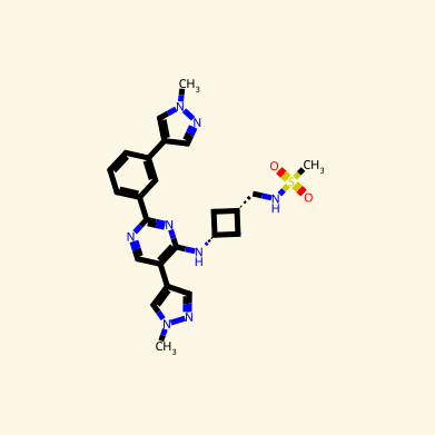 Cn1cc(-c2cccc(-c3ncc(-c4cnn(C)c4)c(N[C@H]4C[C@@H](CNS(C)(=O)=O)C4)n3)c2)cn1